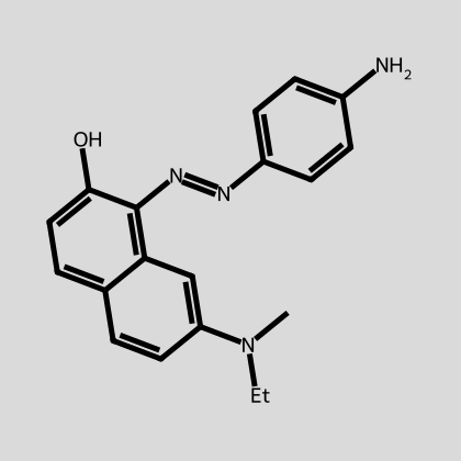 CCN(C)c1ccc2ccc(O)c(N=Nc3ccc(N)cc3)c2c1